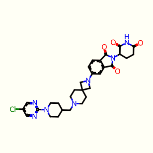 O=C1CCC(N2C(=O)c3ccc(N4CC5(CCN(CC6CCN(c7ncc(Cl)cn7)CC6)CC5)C4)cc3C2=O)C(=O)N1